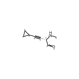 CN[C@@H](C#CC1CC1)C=O